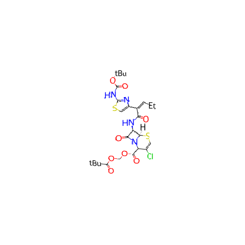 CC/C=C(\C(=O)N[C@@H]1C(=O)N2C(C(=O)OCOC(=O)C(C)(C)C)C(Cl)=CS[C@H]12)c1csc(NC(=O)OC(C)(C)C)n1